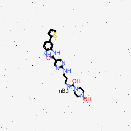 CCCCN(CCCNc1ncc(C(=O)Nc2cc(-c3cccs3)ccc2N)cn1)C(O)N1CCN(O)CC1